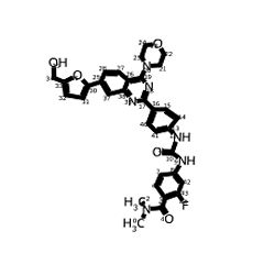 CN(C)C(=O)c1ccc(NC(=O)Nc2ccc(-c3nc(N4CCOCC4)c4ccc(-c5ccc(CO)o5)cc4n3)cc2)cc1F